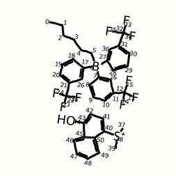 CCCCCC[B-](c1cccc(C(F)(F)F)c1)(c1cccc(C(F)(F)F)c1)c1cccc(C(F)(F)F)c1.C[S+](C)c1ccc(O)c2ccccc12